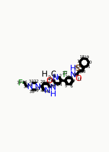 Cn1cc(-c2cccc(NC(=O)c3cc4c(s3)CCCCC4)c2F)cc(Nc2ccc(N3CCN(CCF)CC3)cn2)c1=O